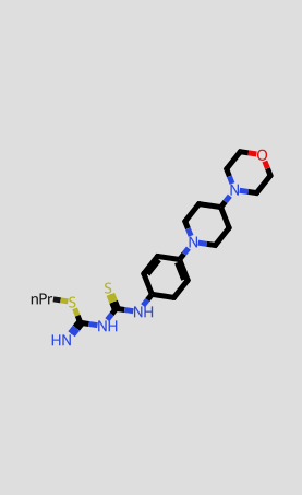 CCCSC(=N)NC(=S)NC1C=CC(N2CCC(N3CCOCC3)CC2)=CC1